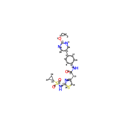 COc1ncc(-c2ccc(NC(=O)Cc3csc(NS(=O)(=O)C4CC4)n3)cc2)cn1